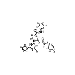 Cc1ccc(CNC(=O)CC2CN(C(=O)Nc3ccccc3)CCN2c2cc(C)nc(-n3ccnc3)n2)cc1